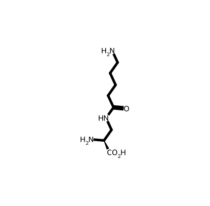 NCCCCC(=O)NC[C@H](N)C(=O)O